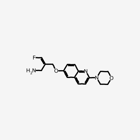 NC/C(=C\F)COc1ccc2nc(N3CCOCC3)ccc2c1